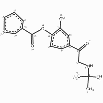 CC(C)(C)NCC(=O)c1ccc(OC(=O)c2cccnc2)c(O)c1